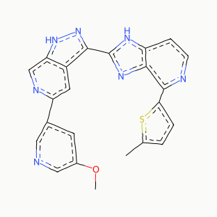 COc1cncc(-c2cc3c(-c4nc5c(-c6ccc(C)s6)nccc5[nH]4)n[nH]c3cn2)c1